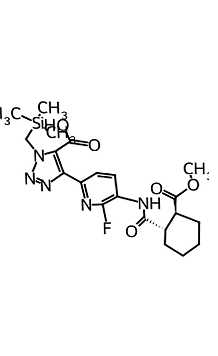 COC(=O)[C@H]1CCCC[C@@H]1C(=O)Nc1ccc(-c2nnn(C[Si](C)(C)C)c2C(=O)O)nc1F